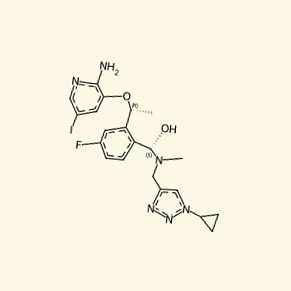 C[C@@H](Oc1cc(I)cnc1N)c1cc(F)ccc1[C@H](O)N(C)Cc1cn(C2CC2)nn1